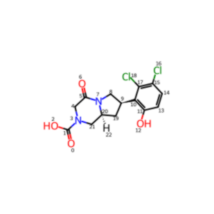 O=C(O)N1CC(=O)N2C[C@@H](c3c(O)ccc(Cl)c3Cl)C[C@H]2C1